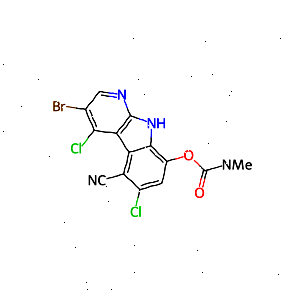 CNC(=O)Oc1cc(Cl)c(C#N)c2c1[nH]c1ncc(Br)c(Cl)c12